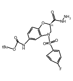 CC(C)(C)OC(=O)Nc1ccc2c(c1)N(S(=O)(=O)c1ccc(F)cc1)C[C@H](C(=O)NN)O2